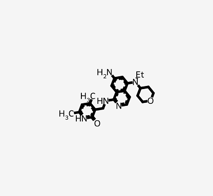 CCN(c1cc(N)cc2c(NCc3c(C)cc(C)[nH]c3=O)nccc12)C1CCOCC1